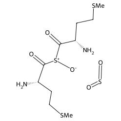 CSCC[C@H](N)C(=O)[S+]([O-])C(=O)[C@@H](N)CCSC.O=S=O